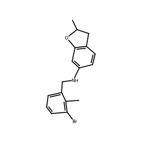 Cc1c(Br)cccc1CNc1ccc2c(c1)OC(C)[CH]2